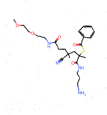 COCCOCCNC(=O)CCC(C)(C#N)CC(C)(SC(=O)c1ccccc1)C(=O)NCCCN